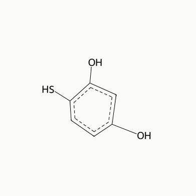 Oc1ccc(S)c(O)c1